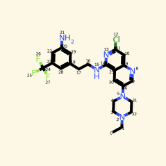 CCN1CCN(c2cnc3cc(Cl)nc(NCCc4cc(N)cc(C(F)(F)F)c4)c3c2)CC1